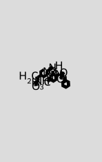 C=C(NC=O)C1CCN(C#N)C(n2c(C)ccc(NS(=O)(=O)Cc3ccccc3)c2=O)C1